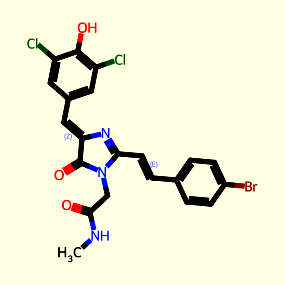 CNC(=O)CN1C(=O)/C(=C/c2cc(Cl)c(O)c(Cl)c2)N=C1/C=C/c1ccc(Br)cc1